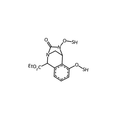 CCOC(=O)C1c2cccc(OS)c2C2CN1C(=O)N2OS